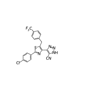 N#Cc1[nH]nnc1-c1nc(-c2ccc(Cl)cc2)sc1Cc1ccc(C(F)(F)F)cc1